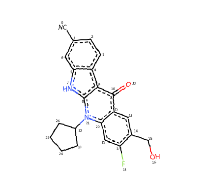 N#Cc1ccc2c(c1)[nH]c1c2c(=O)c2cc(CO)c(F)cc2n1C1CCCC1